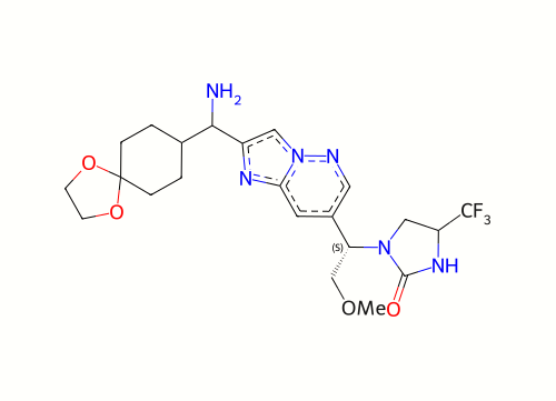 COC[C@H](c1cnn2cc(C(N)C3CCC4(CC3)OCCO4)nc2c1)N1CC(C(F)(F)F)NC1=O